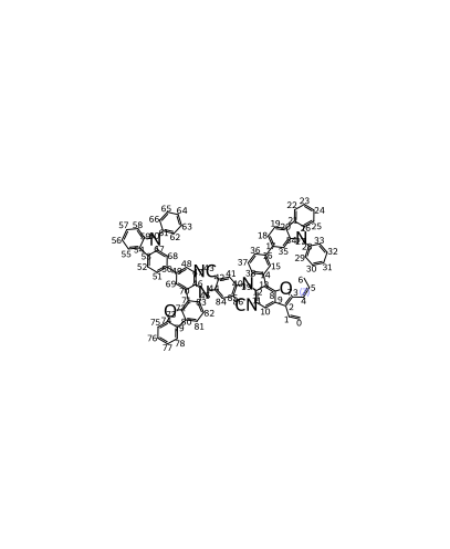 C=Cc1c(/C=C\C)oc2c1ccc1c2c2cc(-c3ccc4c5ccccc5n(-c5ccccc5)c4c3)ccc2n1-c1cc(C#N)c(-n2c3ccc(-c4ccc5c6ccccc6n(-c6ccccc6)c5c4)cc3c3c4oc5ccccc5c4ccc32)cc1C#N